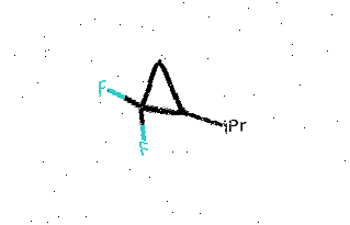 [CH2]C(C)C1CC1(F)F